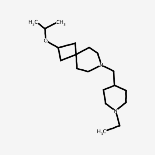 CCN1CCC(CN2CCC3(CC2)CC(OC(C)C)C3)CC1